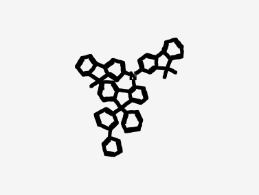 CC1(C)c2ccccc2-c2ccc(N(c3ccc4c(c3)C(C)(C)c3ccccc3-4)c3cccc4c3-c3ccccc3C4(c3ccccc3)c3cccc(-c4ccccc4)c3)cc21